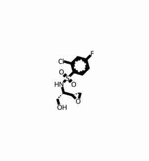 O=S(=O)(N[C@@H](CO)[C@@H]1CO1)c1ccc(F)cc1Cl